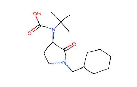 CC(C)(C)N(C(=O)O)[C@@H]1CCN(CC2CCCCC2)C1=O